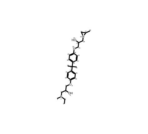 CCN(C)CC(O)COc1ccc(C(C)(C)c2ccc(OCC(O)CN3CC3C)cc2)cc1